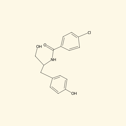 O=C(NC(CO)Cc1ccc(O)cc1)c1ccc(Cl)cc1